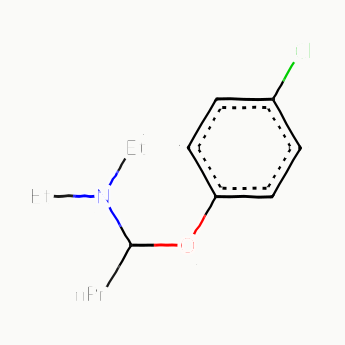 CCCC(Oc1ccc(Cl)cc1)N(CC)CC